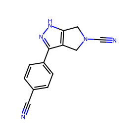 N#Cc1ccc(-c2n[nH]c3c2CN(C#N)C3)cc1